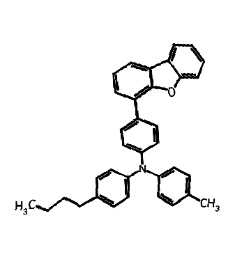 CCCCc1ccc(N(c2ccc(C)cc2)c2ccc(-c3cccc4c3oc3ccccc34)cc2)cc1